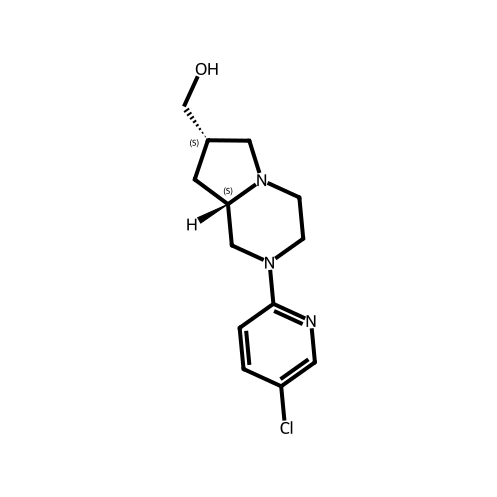 OC[C@H]1C[C@H]2CN(c3ccc(Cl)cn3)CCN2C1